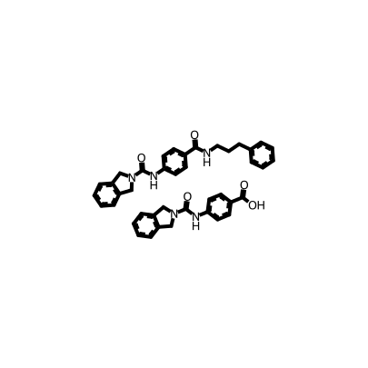 O=C(NCCCc1ccccc1)c1ccc(NC(=O)N2Cc3ccccc3C2)cc1.O=C(O)c1ccc(NC(=O)N2Cc3ccccc3C2)cc1